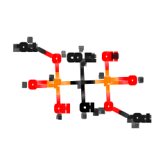 CCCCCCCCOP(=O)(O)C(C)(C(=O)OCC)P(=O)(O)OCCCCCCCC